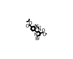 COC(=O)c1cc(Br)nc(-c2ccc(C(=O)OC(C)C)cc2)c1N=[N+]=[N-]